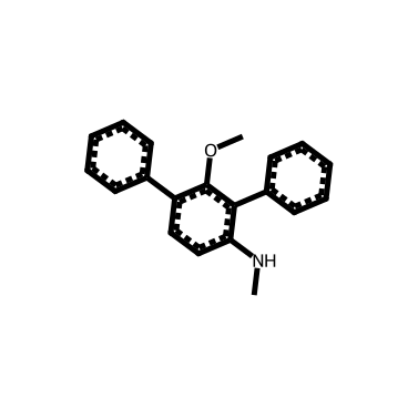 CNc1ccc(-c2ccccc2)c(OC)c1-c1ccccc1